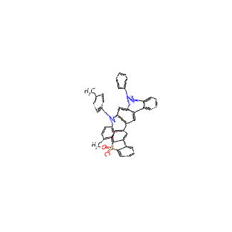 Cc1ccc(N(c2ccc(C)cc2)c2cc3c(cc2-c2ccc4c(c2)-c2ccccc2S4(=O)=O)c2ccccc2n3-c2ccccc2)cc1